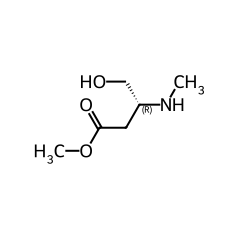 CN[C@@H](CO)CC(=O)OC